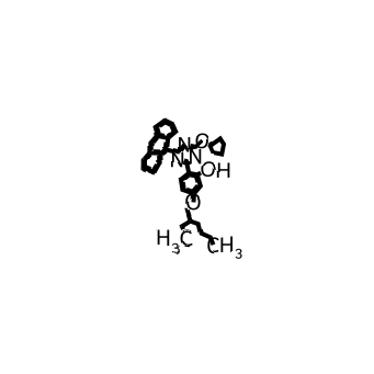 CCCCC(CC)COc1ccc(-c2nc(OC3CCCC3)nc(-c3c4ccccc4cc4ccccc34)n2)c(O)c1